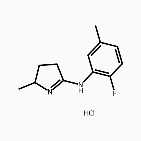 Cc1ccc(F)c(NC2=NC(C)CC2)c1.Cl